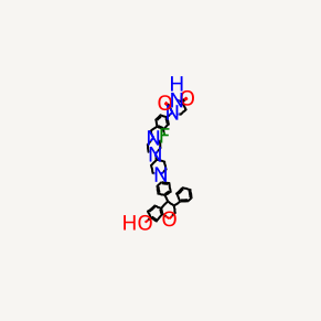 O=C1CCN(c2ccc(CN3CCN(C4CCN(c5ccc(C6c7ccc(O)cc7OCC6c6ccccc6)cc5)CC4)CC3)c(F)c2)C(=O)N1